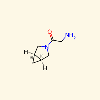 NCC(=O)N1C[C@H]2C[C@H]2C1